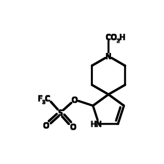 O=C(O)N1CCC2(C=CNC2OS(=O)(=O)C(F)(F)F)CC1